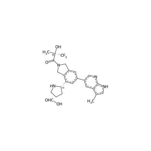 Cc1c[nH]c2ncc(-c3cc4c(c([C@@H]5CCCN5)c3)CN(C(=O)[C@@](C)(O)C(F)(F)F)C4)cc12.O=CO